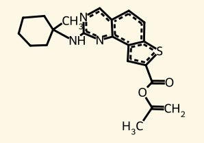 C=C(C)OC(=O)c1cc2c(ccc3cnc(NC4(C)CCCCC4)nc32)s1